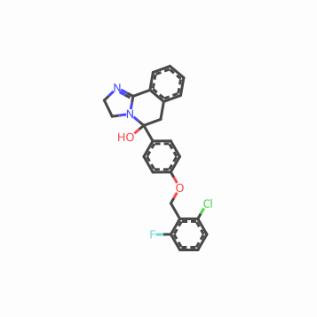 OC1(c2ccc(OCc3c(F)cccc3Cl)cc2)Cc2ccccc2C2=NCCN21